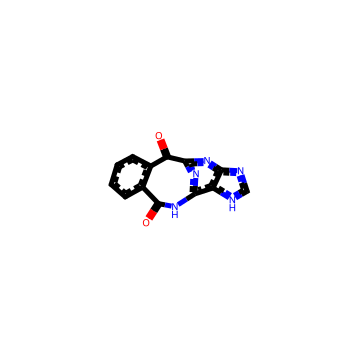 O=C1Nc2nc(nc3nc[nH]c23)C(=O)c2ccccc21